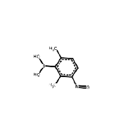 Cc1ccc(N=O)c(C)c1B(O)O